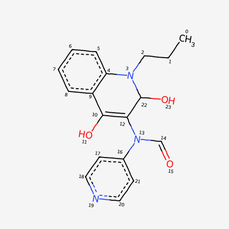 CCCN1c2ccccc2C(O)=C(N(C=O)c2ccncc2)C1O